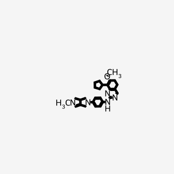 COC1=C(C2CCCC2)c2nc(Nc3ccc(N4CC5=CN(C)CC5C4)cc3)ncc2CC1